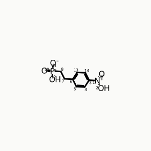 O=[N+](O)c1ccc(CCP(=O)([O-])O)cc1